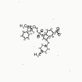 C=CCS(=O)(=O)n1cc(CN2CCN(C)CC2)c2cc([N+](=O)[O-])ccc21.CC(C)c1ccccc1